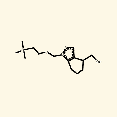 C[Si](C)(C)CCOCn1ncc2c1CCCC2CO